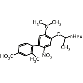 CCCCCCC(C)Oc1cc([N+](=O)[O-])c(-c2ccc(C(=O)O)cc2C)cc1N(C)C